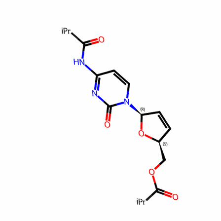 CC(C)C(=O)Nc1ccn([C@H]2C=C[C@@H](COC(=O)C(C)C)O2)c(=O)n1